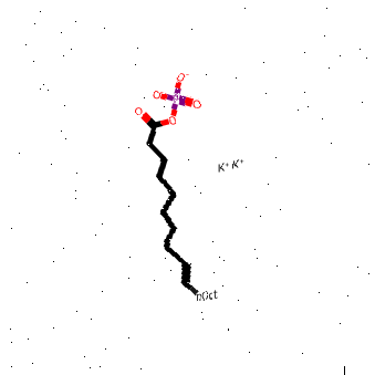 CCCCCCCCC=CCCCCCCCC(=O)OP(=O)([O-])[O-].[K+].[K+]